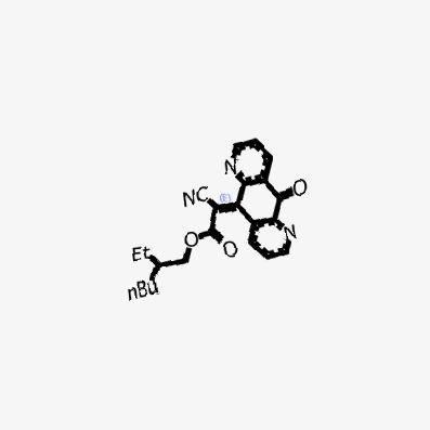 CCCCC(CC)COC(=O)/C(C#N)=C1\c2cccnc2C(=O)c2cccnc21